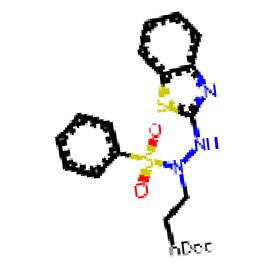 CCCCCCCCCCCCN(Nc1nc2ccccc2s1)S(=O)(=O)c1ccccc1